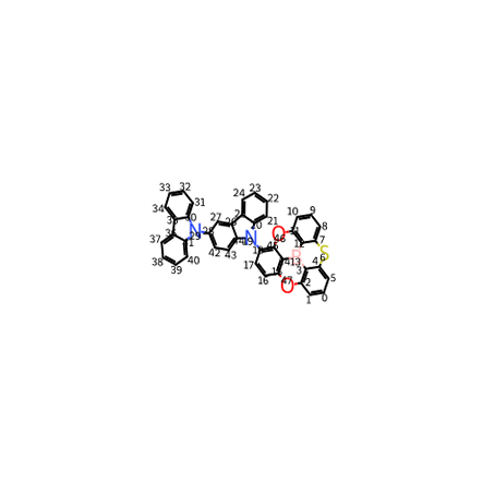 c1cc2c3c(c1)Sc1cccc4c1B3c1c(ccc(-n3c5ccccc5c5cc(-n6c7ccccc7c7ccccc76)ccc53)c1O4)O2